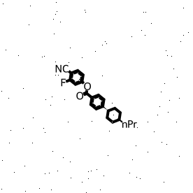 CCC[C@H]1CC[C@H](c2ccc(C(=O)Oc3ccc(C#N)c(F)c3)cc2)CC1